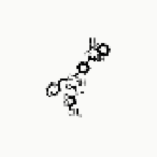 Cc1cc(NC(=O)NC(CCCN2CCOCC2)c2ccc(C(=O)Nc3ccccc3N)cc2)on1